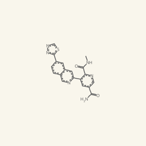 CNC(=O)c1ncc(C(N)=O)cc1-c1cc2cc(-c3nncs3)ccc2cn1